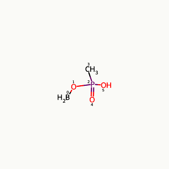 BOP(C)(=O)O